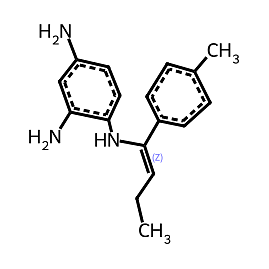 CC/C=C(\Nc1ccc(N)cc1N)c1ccc(C)cc1